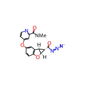 CNC(=O)c1cc(Oc2ccc3c(c2)[C@@H]2[C@H](O3)[C@H]2C(=O)N=[N+]=[N-])ccn1